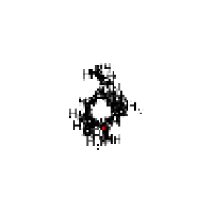 CC(=O)N[C@@H](CCCNC(=N)N)C(=O)N[C@H]1CCCNC(=O)CC[C@@H](C(=O)O)NC(=O)[C@H](Cc2c[nH]c3ccccc23)NC(=O)[C@H](CCCNC(=N)N)NC(=O)[C@@H](Cc2ccccc2)NC[C@H](CCC(N)=O)NC1O